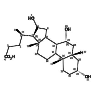 C[C@H](CCC(=O)O)[C@H]1C(O)CC2C3C(CC[C@@]21C)[C@@]1(C)CC[C@@H](O)C[C@H]1C[C@H]3O